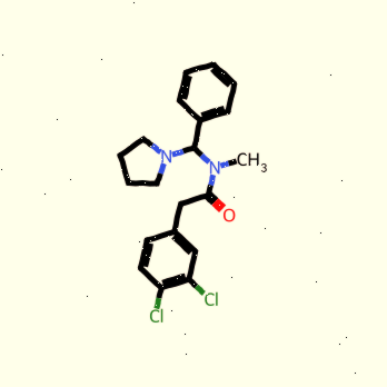 CN(C(=O)Cc1ccc(Cl)c(Cl)c1)C(c1ccccc1)N1CCCC1